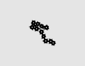 c1ccc(C2(c3ccccc3)c3ccccc3-c3ccc(N(c4ccc(-c5ccc(-c6cccc(-c7ccc8ccccc8c7)c6)cc5)cc4)c4cccc5c4sc4ccccc45)cc32)cc1